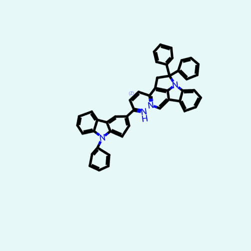 N=C(/C=C\c1ncc2c3ccccc3n3c2c1CC3(c1ccccc1)c1ccccc1)c1ccc2c(c1)c1ccccc1n2-c1ccccc1